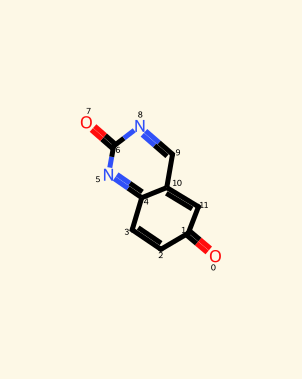 O=C1C=CC2=NC(=O)N=CC2=C1